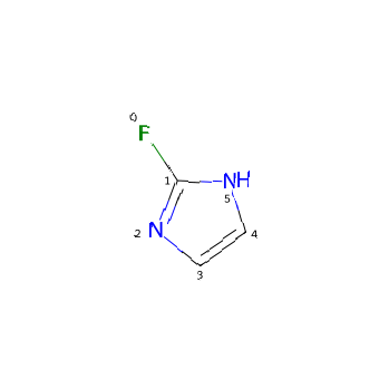 Fc1ncc[nH]1